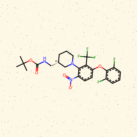 CC(C)(C)OC(=O)NC[C@@H]1CCCN(c2c([N+](=O)[O-])ccc(Oc3c(F)cccc3F)c2C(F)(F)F)C1